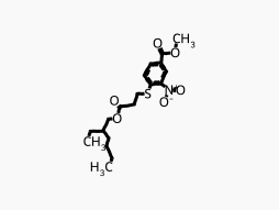 CCCCC(CC)COC(=O)CCSc1ccc(C(=O)OC)cc1[N+](=O)[O-]